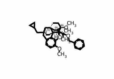 COc1ccc2c3c1O[C@H]1[C@@]4(OC)CC[C@@]5(C[C@@H]4C(C)(C)OCc4ccccc4)C(C2)N(CC2CC2)CC[C@]315